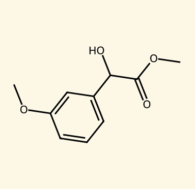 COC(=O)C(O)c1cccc(OC)c1